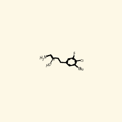 CC(C)(C)c1cc(CC[C@@H](O)CN)cc(F)c1Cl